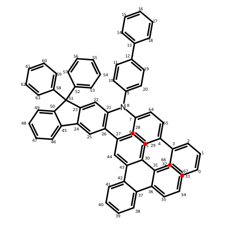 c1ccc(-c2ccc(N(c3ccc(-c4ccccc4)cc3)c3cc4c(cc3-c3ccc5c6ccccc6c6ccccc6c5c3)-c3ccccc3C4(c3ccccc3)c3ccccc3)cc2)cc1